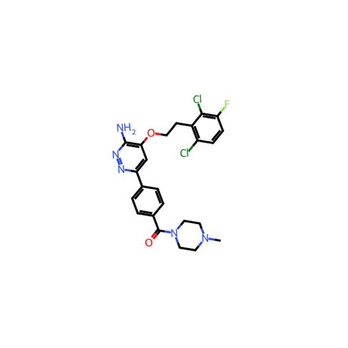 CN1CCN(C(=O)c2ccc(-c3cc(OCCc4c(Cl)ccc(F)c4Cl)c(N)nn3)cc2)CC1